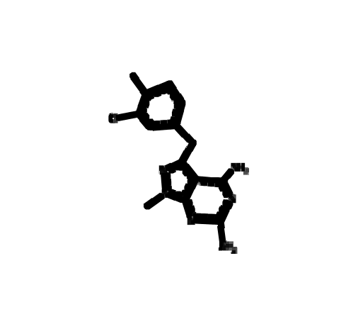 Cc1ccc(Cc2nn(C)c3nc(N)nc(N)c23)cc1Cl